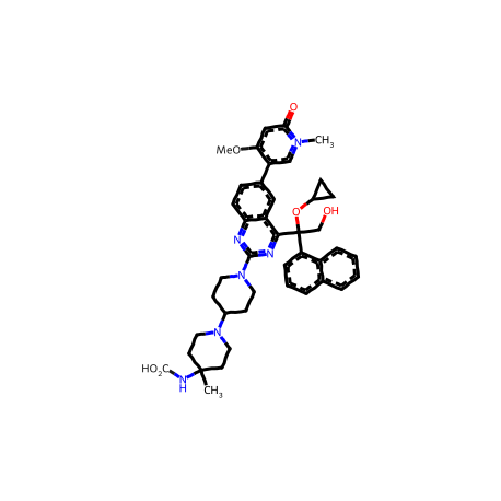 COc1cc(=O)n(C)cc1-c1ccc2nc(N3CCC(N4CCC(C)(NC(=O)O)CC4)CC3)nc(C(CO)(OC3CC3)c3cccc4ccccc34)c2c1